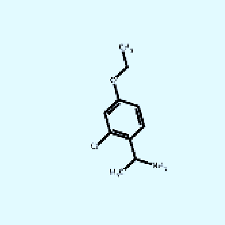 CCOc1ccc(C(C)N)c(Cl)c1